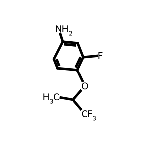 CC(Oc1ccc(N)cc1F)C(F)(F)F